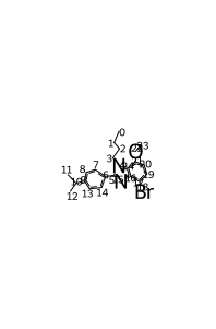 CCCCn1c(-c2ccc(C(C)C)cc2)nc2c(Br)ccc(OC)c21